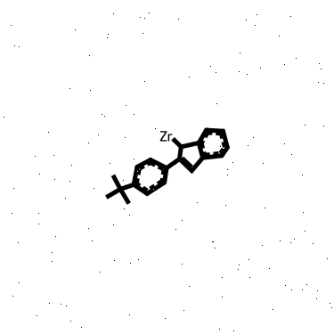 CC(C)(C)c1ccc(C2=Cc3ccccc3[CH]2[Zr])cc1